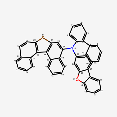 c1ccc(-c2ccccc2N(c2ccc3c(c2)oc2ccccc23)c2cc3sc4ccc5ccccc5c4c3c3ccccc23)cc1